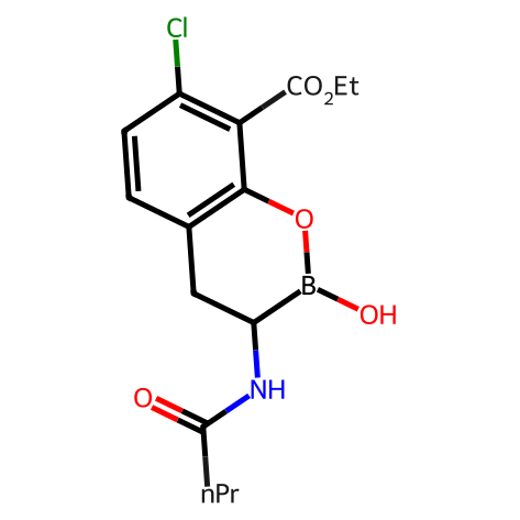 CCCC(=O)NC1Cc2ccc(Cl)c(C(=O)OCC)c2OB1O